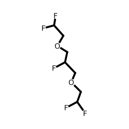 FC(F)COCC(F)COCC(F)F